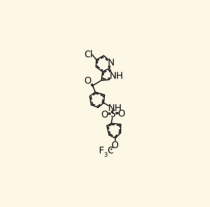 O=C(c1cccc(NS(=O)(=O)c2ccc(OC(F)(F)F)cc2)c1)c1c[nH]c2ncc(Cl)cc12